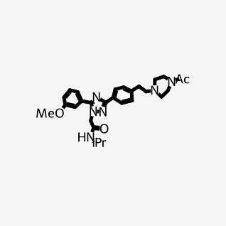 COc1cccc(-c2nc(-c3ccc(CCN4CCN(C(C)=O)CC4)cc3)nn2CC(=O)NC(C)C)c1